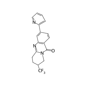 O=c1c2ccc(-c3ccccn3)cc2nc2n1CC(C(F)(F)F)CC2